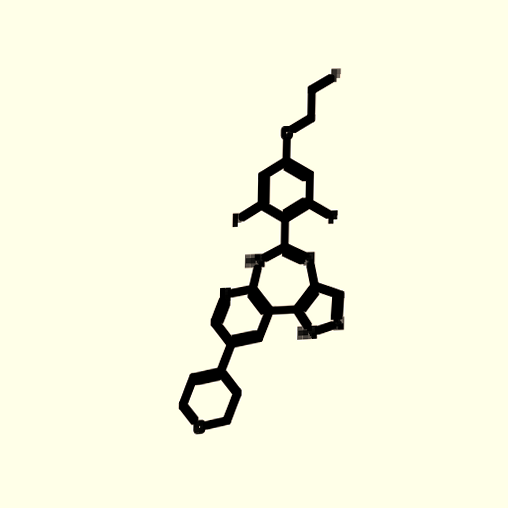 FCCOc1cc(F)c(C2=Nc3cn[nH]c3-c3cc(C4=CCOCC4)cnc3N2)c(F)c1